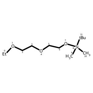 [CH2]COCCOCCO[Si](C)(C)C(C)(C)C